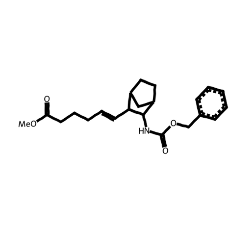 COC(=O)CCCC=CC1C2CCC(C2)C1NC(=O)OCc1ccccc1